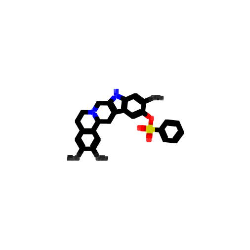 COc1cc2c(cc1OC)C1Cc3c([nH]c4cc(OC)c(OS(=O)(=O)c5ccccc5)cc34)CN1CC2